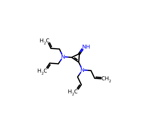 C=CCN(CC=C)c1c(N(CC=C)CC=C)c1=N